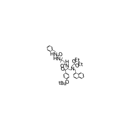 CCOC(CN(Cc1cccc2ccccc12)CC(NC(=O)CC(C)(C)NC(=O)NCc1ccccc1)C(=O)c1ccc(OC(C)(C)C)cc1)OCC